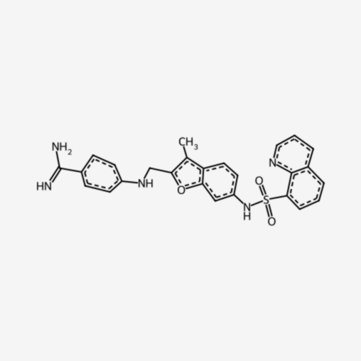 Cc1c(CNc2ccc(C(=N)N)cc2)oc2cc(NS(=O)(=O)c3cccc4cccnc34)ccc12